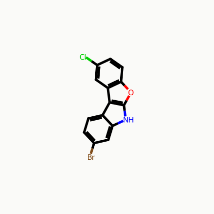 Clc1ccc2oc3[nH]c4cc(Br)ccc4c3c2c1